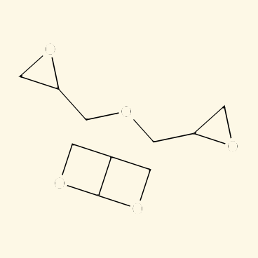 C(OCC1CO1)C1CO1.C1OC2OCC12